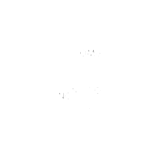 COc1ccc(C(=O)C(SC#N)C2CC2)cc1